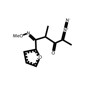 CO/N=C(\c1ccco1)C(C)C(=O)C(C)=[N+]=[N-]